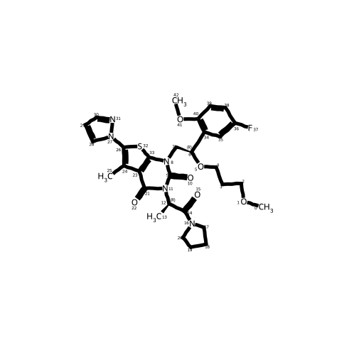 COCCCO[C@@H](Cn1c(=O)n([C@H](C)C(=O)N2CCCC2)c(=O)c2c(C)c(-n3cccn3)sc21)c1cc(F)ccc1OC